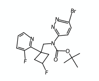 CC(C)(C)OC(=O)N(CC1(c2ncccc2F)CC(F)C1)c1ccc(Br)nn1